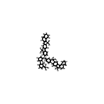 CC1(C)c2cc(N(c3ccc4c(c3)C(C)(C)c3cc5c(cc3-4)C(C)(C)c3c-5ccc4ccccc34)c3cccc4c3oc3c([Si](C)(C)C)cccc34)ccc2-c2cc3c(cc21)-c1c(ccc2ccccc12)C3(C)C